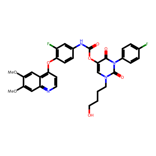 COc1cc2nccc(Oc3ccc(NC(=O)Oc4cn(CCCCO)c(=O)n(-c5ccc(F)cc5)c4=O)cc3F)c2cc1OC